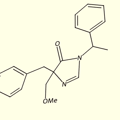 COCC1(Cc2ccccc2)N=CN(C(C)c2ccccc2)C1=O